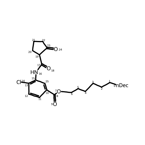 CCCCCCCCCCCCCCCCOC(=O)c1ccc(Cl)c(NC(=O)C2CCCC2=O)c1